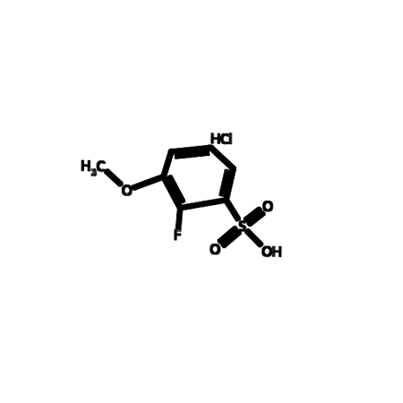 COc1cccc(S(=O)(=O)O)c1F.Cl